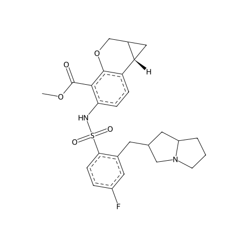 COC(=O)c1c(NS(=O)(=O)c2ccc(F)cc2CC2CC3CCCN3C2)ccc2c1OCC1C[C@H]21